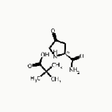 CC(C)(C)C(=O)O.NC(=O)[C@@H]1CC(=O)CN1